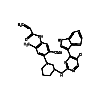 C=CC(=O)Nc1cc(OC)c(N2CCCC(Nc3ncc(Cl)c(-c4c[nH]c5ccccc45)n3)C2)cc1C